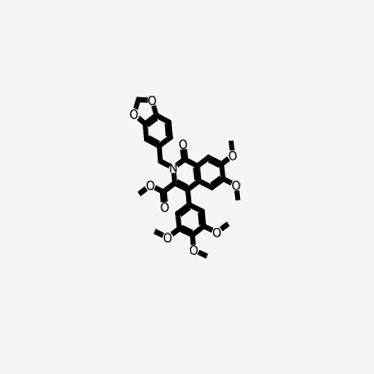 COC(=O)c1c(-c2cc(OC)c(OC)c(OC)c2)c2cc(OC)c(OC)cc2c(=O)n1Cc1ccc2c(c1)OCO2